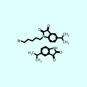 CC(C)c1ccc2c(c1)C(=O)C(=O)N2.CC(C)c1ccc2c(c1)C(=O)C(=O)N2CCCCCBr